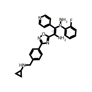 N/C(=C(/c1ccncc1)N(N)c1ccccc1F)c1nc(-c2ccc(CNC3CC3)cc2)no1